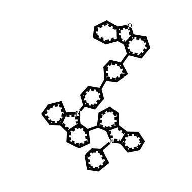 c1ccc(-n2c3ccccc3c3cccc(-c4cccc5c6ccccc6n(-c6ccc(-c7ccc(-c8cccc9oc%10ccccc%10c89)cc7)cc6)c45)c32)cc1